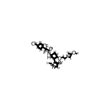 COC1CN(CCOc2ccc(NC(=O)C(F)(F)c3ccc(Cl)cc3)cc2-c2c(Br)cnn2C)C1